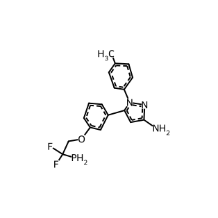 Cc1ccc(-n2nc(N)cc2-c2cccc(OCC(F)(F)P)c2)cc1